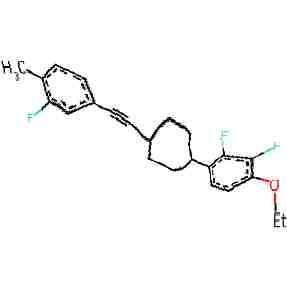 CCOc1ccc(C2CCC(C#Cc3ccc(C)c(F)c3)CC2)c(F)c1F